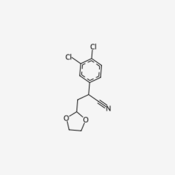 N#CC(CC1OCCO1)c1ccc(Cl)c(Cl)c1